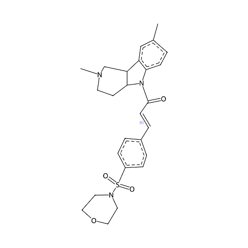 Cc1ccc2c(c1)C1CN(C)CCC1N2C(=O)/C=C/c1ccc(S(=O)(=O)N2CCOCC2)cc1